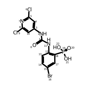 O=C(Nc1cc(Cl)nc(Cl)c1)Nc1ccc(Br)cc1P(=O)(O)O